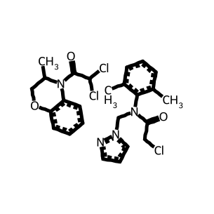 CC1COc2ccccc2N1C(=O)C(Cl)Cl.Cc1cccc(C)c1N(Cn1cccn1)C(=O)CCl